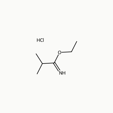 CCOC(=N)C(C)C.Cl